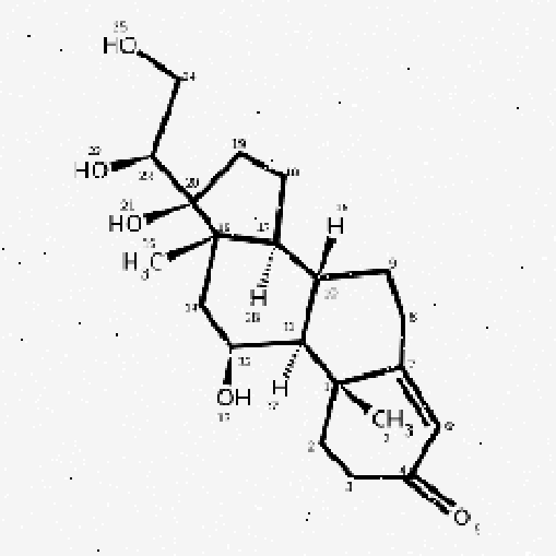 C[C@]12CCC(=O)C=C1CC[C@@H]1[C@@H]2[C@@H](O)C[C@@]2(C)[C@H]1CC[C@@]2(O)[C@@H](O)CO